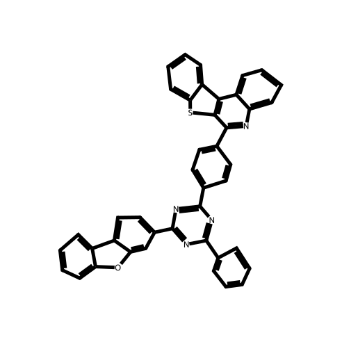 c1ccc(-c2nc(-c3ccc(-c4nc5ccccc5c5c4sc4ccccc45)cc3)nc(-c3ccc4c(c3)oc3ccccc34)n2)cc1